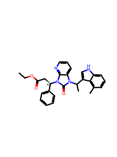 CCOC(=O)C[C@H](c1ccccc1)n1c(=O)n(C(C)c2c[nH]c3cccc(C)c23)c2cccnc21